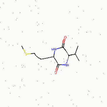 CSCCC1NC(=O)C(C(C)C)NC1=O